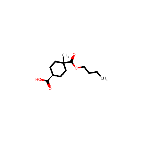 CCCCOC(=O)[C@]1(C)CC[C@@H](C(=O)O)CC1